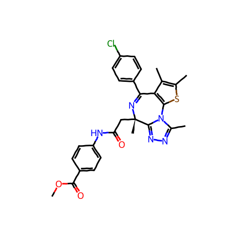 COC(=O)c1ccc(NC(=O)C[C@]2(C)N=C(c3ccc(Cl)cc3)c3c(sc(C)c3C)-n3c(C)nnc32)cc1